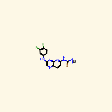 CCNC(=S)Nc1ccc2ncc(Nc3ccc(F)c(F)c3)nc2n1